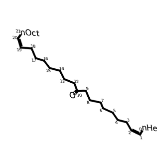 CCCCCC/C=C\CCCCCCCC(=O)CCCCCCC/C=C\CCCCCCCC